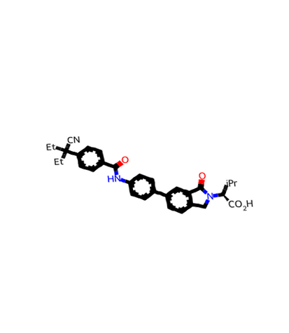 CCC(C#N)(CC)c1ccc(C(=O)Nc2ccc(-c3ccc4c(c3)C(=O)N([C@H](C(=O)O)C(C)C)C4)cc2)cc1